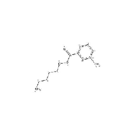 [CH2]CCCCOOC(=O)c1cccc(C)c1